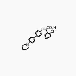 O=C(O)C(Oc1ccc(-c2ccc(N3CCCCC3)cc2)cc1)c1ccccc1Cl